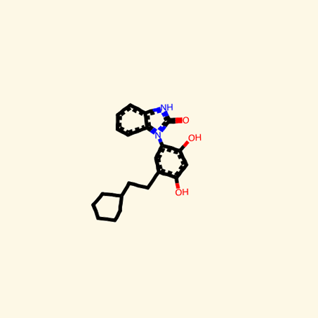 O=c1[nH]c2ccccc2n1-c1cc(CCC2CCCCC2)c(O)cc1O